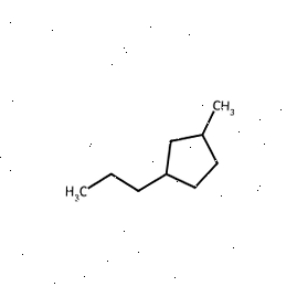 CCCC1CCC(C)C1